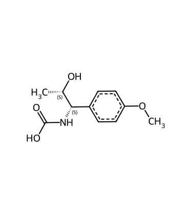 COc1ccc([C@H](NC(=O)O)[C@H](C)O)cc1